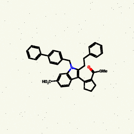 COC(=O)C1=C(c2c(CCc3ccccc3)n(Cc3ccc(-c4ccccc4)cc3)c3cc(C(=O)O)ccc23)CCC1